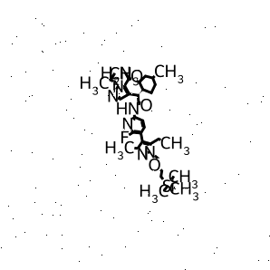 CCc1c(-c2ccc(NC(=O)[C@H](c3cnn(C(C)C)c3C(N)=O)C3CCC(C)CC3)nc2F)c(C)nn1COCC[Si](C)(C)C